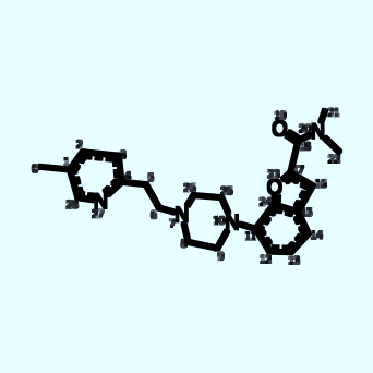 Cc1ccc(CCN2CCN(c3cccc4cc(C(=O)N(C)C)oc34)CC2)nc1